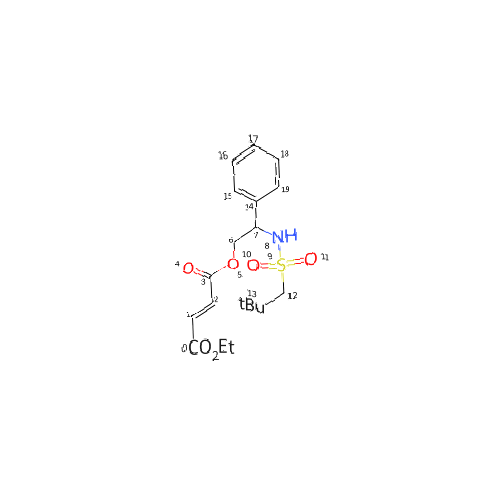 CCOC(=O)/C=C/C(=O)OCC(NS(=O)(=O)CC(C)(C)C)c1ccccc1